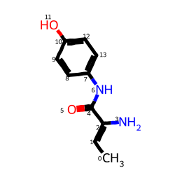 CC=C(N)C(=O)Nc1ccc(O)cc1